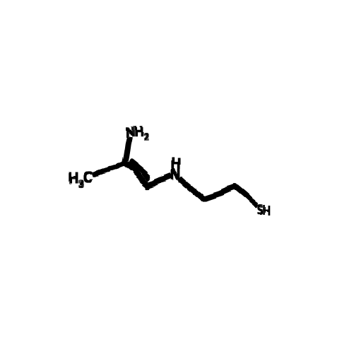 CC(N)=CNCCS